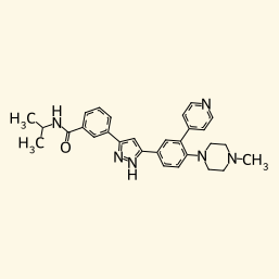 CC(C)NC(=O)c1cccc(-c2cc(-c3ccc(N4CCN(C)CC4)c(-c4ccncc4)c3)[nH]n2)c1